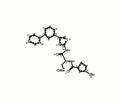 COCC(NC(=O)c1ccn(C(C)(C)C)c1)C(=O)Nc1nc(-c2cccc(-c3ccncn3)c2)cs1